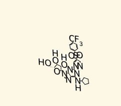 O=S(=O)(c1ccc(C(F)(F)F)cc1)c1cnn(-c2nc(NC3CCCC3)c3ncn([C@@H]4O[C@H](CO)C(O)C4O)c3n2)c1